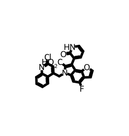 O=C(O)c1c(-c2ccc[nH]c2=O)c2c3occc3c(F)cc2n1Cc1cc(Cl)nc2ccccc12